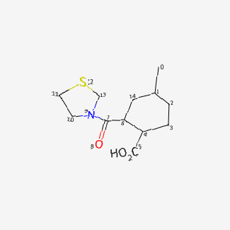 CC1CCC(C(=O)O)C(C(=O)N2CCSC2)C1